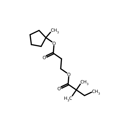 CCC(C)(C)C(=O)OCCC(=O)OC1(C)CCCC1